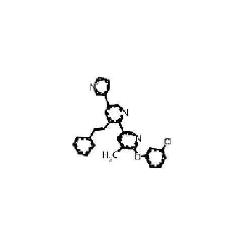 Cc1cc(-c2ncc(-c3cccnc3)cc2/C=C/c2ccccc2)cnc1Oc1cccc(Cl)c1